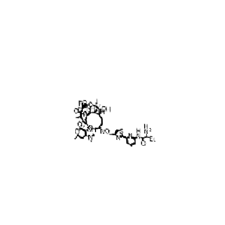 CCC(=O)/N=C1\[C@H](C)C[C@@]2(C)OC/C(=N/OCc3csc(-c4cccc(NC(=O)[C@@H](N)CC)n4)n3)CC[C@H]([C@H]1C)[C@](C)(O)[C@@H](I)OC(=O)[C@@](C)(F)C(=O)[C@H](C)[C@H]2O[C@@H]1O[C@H](C)C[C@H](N(C)C)[C@H]1O